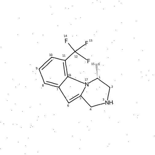 C[C@@H]1CNCc2cc3cccc(C(F)(F)F)c3n21